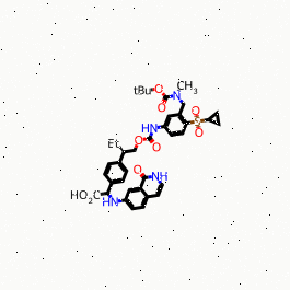 CC[C@@H](COC(=O)Nc1ccc(S(=O)(=O)C2CC2)c(CN(C)C(=O)OC(C)(C)C)c1)c1ccc(C(Nc2ccc3cc[nH]c(=O)c3c2)C(=O)O)cc1